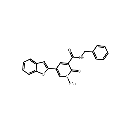 CCCCn1cc(-c2cc3ccccc3o2)cc(C(=O)NCc2ccccc2)c1=O